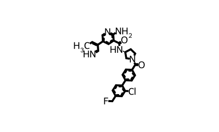 C/C=C(\C=N)c1cnc(N)c(C(=O)N[C@@H]2CCN(C(=O)c3ccc(-c4ccc(CF)cc4Cl)cc3)C2)c1